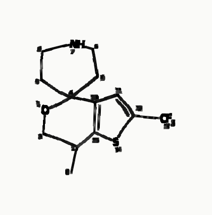 CC1COC2(CCNCC2)c2cc(C(F)(F)F)sc21